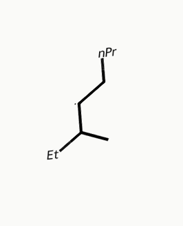 [CH2]CCC[CH]C(C)CC